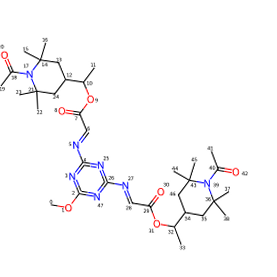 COc1nc(/N=C/C(=O)OC(C)C2CC(C)(C)N(C(C)=O)C(C)(C)C2)nc(/N=C/C(=O)OC(C)C2CC(C)(C)N(C(C)=O)C(C)(C)C2)n1